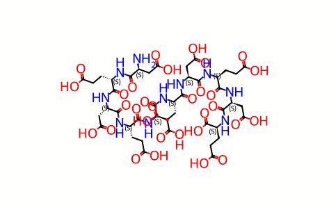 N[C@@H](CC(=O)O)C(=O)N[C@@H](CCC(=O)O)C(=O)N[C@@H](CC(=O)O)C(=O)N[C@@H](CCC(=O)O)C(=O)N[C@@H](CC(=O)O)C(=O)N[C@@H](CCC(=O)O)C(=O)N[C@@H](CC(=O)O)C(=O)N[C@@H](CCC(=O)O)C(=O)N[C@@H](CC(=O)O)C(=O)N[C@@H](CCC(=O)O)C(=O)O